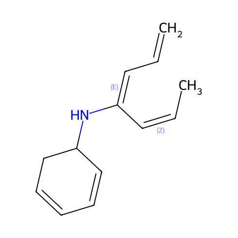 C=C/C=C(\C=C/C)NC1C=CC=CC1